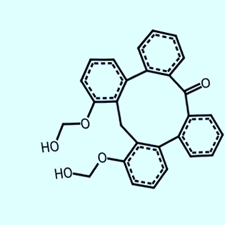 O=C1c2ccccc2-c2cccc(OCO)c2Cc2c(OCO)cccc2-c2ccccc21